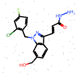 NNC(=O)/C=C/c1nn(Cc2ccc(F)cc2Cl)c2cc(CO)ccc12